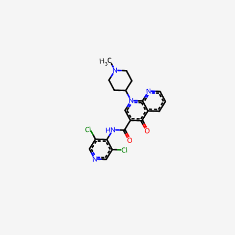 CN1CCC(n2cc(C(=O)Nc3c(Cl)cncc3Cl)c(=O)c3cccnc32)CC1